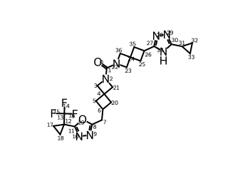 O=C(N1CC2(CC(Cc3nnc(C4(C(F)(F)F)CC4)o3)C2)C1)N1CC2(CC(c3nnc(C4CC4)[nH]3)C2)C1